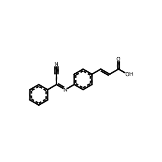 N#CC(=Nc1ccc(C=CC(=O)O)cc1)c1ccccc1